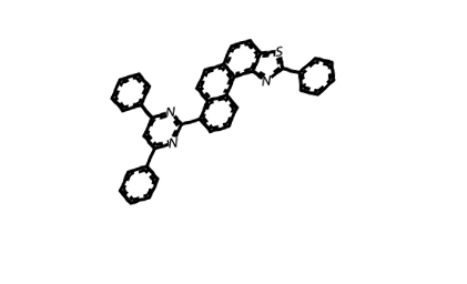 c1ccc(-c2cc(-c3ccccc3)nc(-c3cccc4c3ccc3ccc5sc(-c6ccccc6)nc5c34)n2)cc1